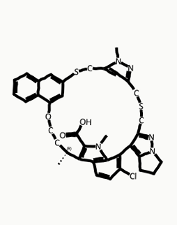 C[C@@H]1CCOc2cc(cc3ccccc23)SCc2cc(nn2C)CSCc2nn3c(c2-c2c(Cl)ccc4c1c(C(=O)O)n(C)c24)CCC3